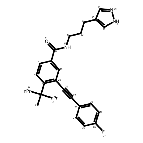 CCCC(C)(CCC)c1ccc(C(=O)NCCCc2cn[nH]c2)cc1C#Cc1ccc(F)cc1